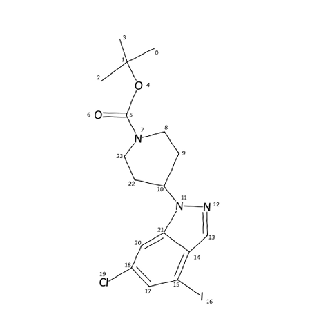 CC(C)(C)OC(=O)N1CCC(n2ncc3c(I)cc(Cl)cc32)CC1